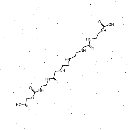 O=C(O)COC(=O)NCCNC(=O)CNCCNCCNCC(=O)NCCNC(=O)O